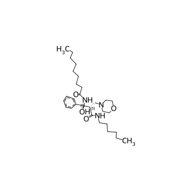 CCCCCCCCC(=O)N[C@@](O)(c1ccccc1)[C@H](CN1CCOCC1)C(=O)NCCCCCC